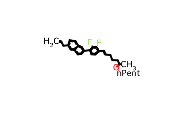 C=CCc1ccc2cc(-c3ccc(C=CCCCC(C)OCCCCC)c(F)c3F)ccc2c1